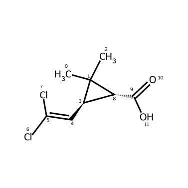 CC1(C)[C@H](C=C(Cl)Cl)[C@H]1C(=O)O